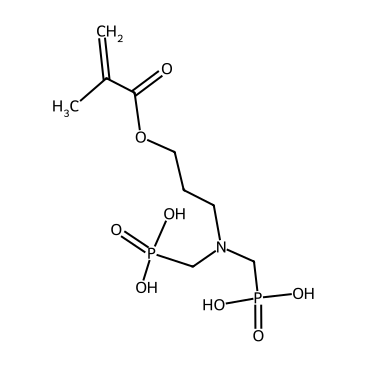 C=C(C)C(=O)OCCCN(CP(=O)(O)O)CP(=O)(O)O